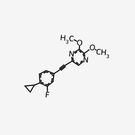 COc1ncc(C#Cc2ccc(C3CC3)c(F)c2)nc1OC